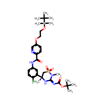 CN1/C(=N\C(=O)OC(C)(C)C)N[C@](C)(c2cc(NC(=O)c3ccc(OCCO[Si](C)(C)C(C)(C)C)cn3)ccc2F)CS1(=O)=O